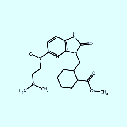 COC(=O)C1CCCCC1Cn1c(=O)[nH]c2ccc(N(C)CCN(C)C)nc21